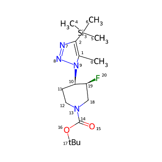 Cc1c([Si](C)(C)C)nnn1[C@@H]1CCN(C(=O)OC(C)(C)C)C[C@@H]1F